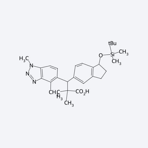 Cc1c(C(c2ccc3c(c2)CCC3O[Si](C)(C)C(C)(C)C)C(C)(C)C(=O)O)ccc2c1nnn2C